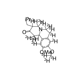 [2H]c1c(OC([2H])([2H])[2H])c(OC)c([2H])c2c1C([2H])([2H])C([2H])([2H])N1C([2H])([2H])C([2H])(CC(C)C)C(=O)C([2H])([2H])C21[2H]